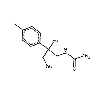 CC(=O)NCC(O)(CO)c1ccc(I)cc1